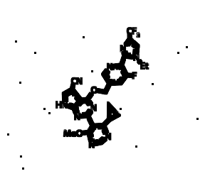 CCn1cc(C(F)(F)F)nc1-c1ncc(COc2nc(-c3c(OC)ncnc3C3CC3)nc3[nH]cc(C#N)c23)cc1F